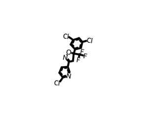 FC(F)(F)C1(c2cc(Cl)cc(Cl)c2)CC(c2ccc(Cl)nc2)=NO1